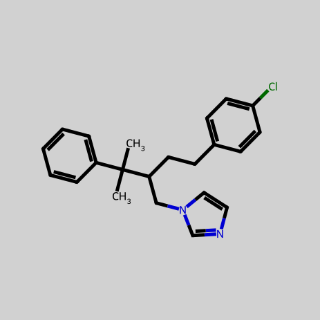 CC(C)(c1ccccc1)C(CCc1ccc(Cl)cc1)Cn1ccnc1